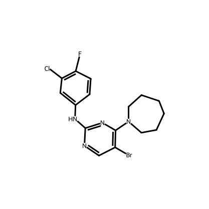 Fc1ccc(Nc2ncc(Br)c(N3CCCCCC3)n2)cc1Cl